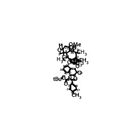 CO[C@H]1C[C@H]2OC[C@@]2(C)C2[C@H](C)[C@]3(O)C[C@H](OCC(=O)C4OC(c5ccc(C)cc5)N(C(=O)OC(C)(C)C)[C@H]4c4ccccc4)C(C)=C([C@@H](C)C(=O)[C@@]21C)C3(C)C